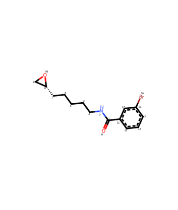 O=C(NCCCCC[C@@H]1CO1)c1cccc(Br)c1